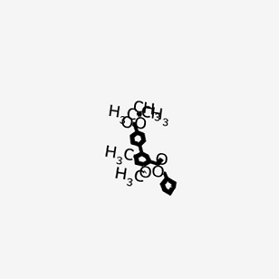 COc1cc(C)c(-c2ccc(C(=O)OC(C)(C)C)cc2)cc1C(=O)OCc1ccccc1